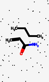 C=CC(N)=O.CCCC